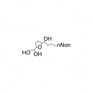 CCCCCCCCCCCCC(O)C1CCC(C(O)CO)O1